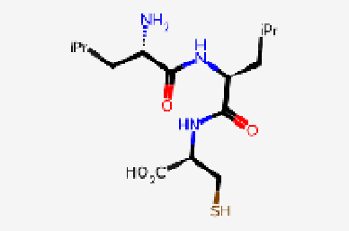 CC(C)C[C@H](NC(=O)[C@@H](N)CC(C)C)C(=O)N[C@@H](CS)C(=O)O